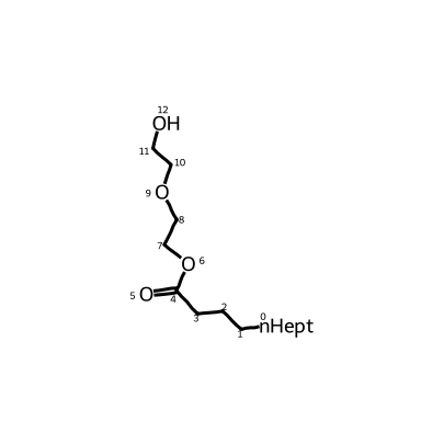 CCCCCCCCCCC(=O)OCCOCCO